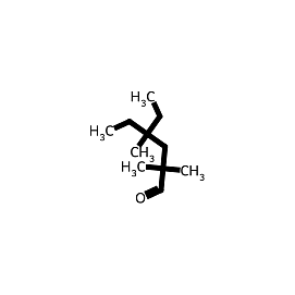 CCC(C)(CC)CC(C)(C)C=O